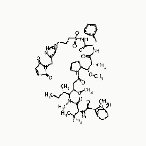 CC[C@H](C)[C@@H]([C@@H](CC(=O)N1CCC[C@H]1[C@H](OC)[C@@H](C)C(=O)N[C@@H](Cc1ccccc1)C(=O)NS(=O)(=O)CCCn1cc(CN2C(=O)C=CC2=O)nn1)OC)N(C)C(=O)[C@@H](NC(=O)[C@@H]1C2CC[C@H](C2)N1C)C(C)C